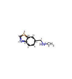 CNCc1ccc2ncsc2c1